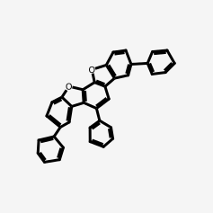 c1ccc(-c2ccc3oc4c(cc(-c5ccccc5)c5c6cc(-c7ccccc7)ccc6oc45)c3c2)cc1